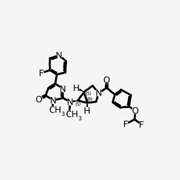 CN(c1nc(-c2ccncc2F)cc(=O)n1C)[C@H]1[C@@H]2CN(C(=O)c3ccc(OC(F)F)cc3)C[C@@H]21